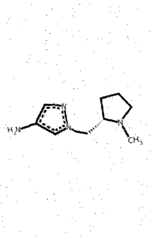 CN1CCC[C@H]1Cn1cc(N)cn1